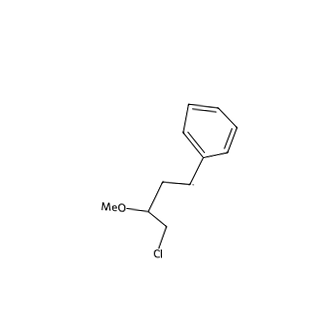 COC(CCl)C[CH]c1ccccc1